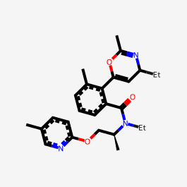 CCC1C=C(c2c(C)cccc2C(=O)N(CC)[C@@H](C)COc2ccc(C)cn2)OC(C)=N1